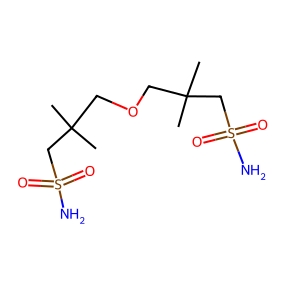 CC(C)(COCC(C)(C)CS(N)(=O)=O)CS(N)(=O)=O